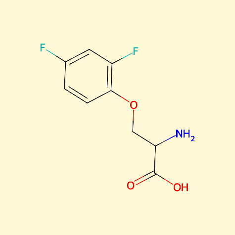 NC(COc1ccc(F)cc1F)C(=O)O